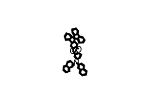 c1ccc2c(c1)C1=C(CC3Oc4ccc(N(c5ccc6ccccc6c5)c5ccc6ccccc6c5)cc4OC3C1)C21c2ccccc2-c2ccccc21